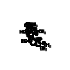 COc1c(C)cc2c(c1O)C1C3C4SCC(=O)C(=O)OCC(c5c(O)c(OC)c(C)c(OC(C)=O)c54)N3C(O)C(C2)N1C